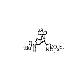 CCOC(=O)CC(C[N+](=O)[O-])c1cn(C(=O)OC(C)(C)C)c2ccc(NC(=O)C(C)(C)C)cc12